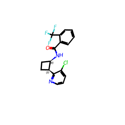 O=C(N[C@@H]1CC[C@@H]1c1ncccc1Cl)c1ccccc1C(F)(F)F